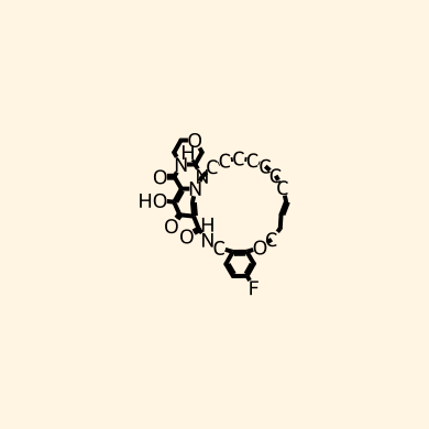 O=C1NCc2ccc(F)cc2OCC/C=C/CCCCCCCN2[C@H]3COCCN3C(=O)c3c(O)c(=O)c1cn32